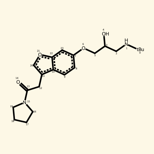 CC(C)(C)NCC(O)COc1ccc2c(CC(=O)N3CCCC3)coc2c1